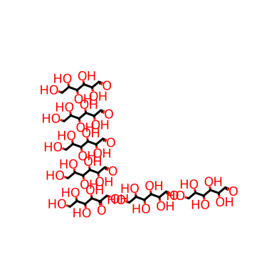 O=C(CO)C(O)C(O)C(O)CO.O=CC(O)C(O)C(O)C(O)CO.O=CC(O)C(O)C(O)C(O)CO.O=CC(O)C(O)C(O)C(O)CO.O=CC(O)C(O)C(O)C(O)CO.O=CC(O)C(O)C(O)C(O)CO.O=CC(O)C(O)C(O)C(O)CO